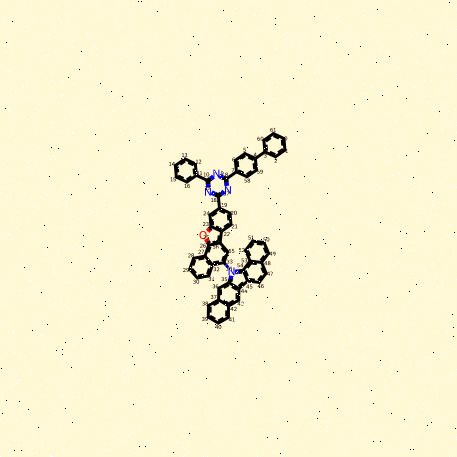 c1ccc(-c2ccc(-c3nc(-c4ccccc4)nc(-c4ccc5c(c4)oc4c6ccccc6c(-n6c7cc8ccccc8cc7c7ccc8ccccc8c76)cc54)n3)cc2)cc1